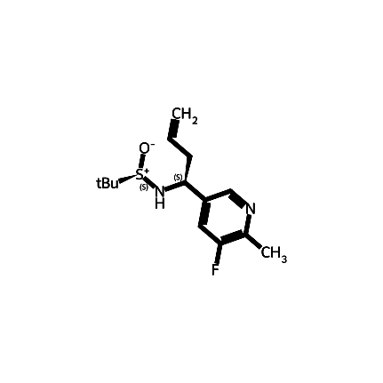 C=CC[C@H](N[S@+]([O-])C(C)(C)C)c1cnc(C)c(F)c1